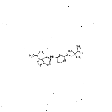 CC(C)n1cnc2cnc(Nc3ccnc(OCC(C)(C)C(N)=O)n3)cc21